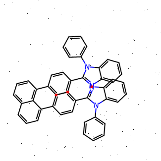 c1ccc(-n2c(-c3ccc(-c4cccc5cccc(-c6ccc(-c7nc8ccccc8n7-c7ccccc7)cc6)c45)cc3)nc3ccccc32)cc1